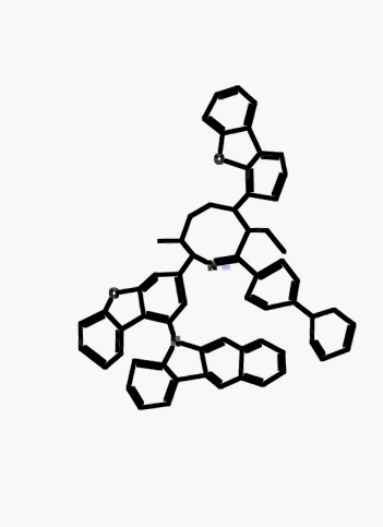 CCC1/C(c2ccc(C3C=CC=CC3)cc2)=N\C(c2cc(-n3c4ccccc4c4cc5ccccc5cc43)c3c(c2)oc2ccccc23)C(C)CCC1c1cccc2c1oc1ccccc12